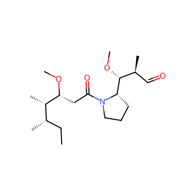 CC[C@H](C)[C@H](C)[C@@H](CC(=O)N1CCC[C@H]1[C@H](OC)[C@@H](C)C=O)OC